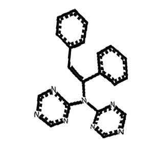 C(=C(c1ccccc1)N(c1ncncn1)c1ncncn1)c1ccccc1